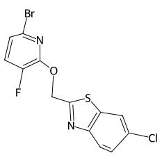 Fc1ccc(Br)nc1OCc1nc2ccc(Cl)cc2s1